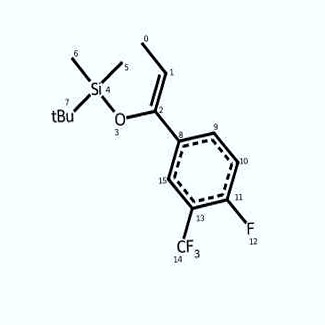 CC=C(O[Si](C)(C)C(C)(C)C)c1ccc(F)c(C(F)(F)F)c1